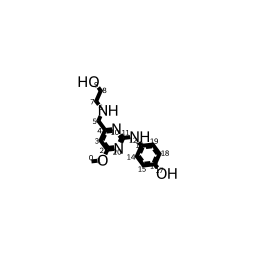 COc1cc(CNCCO)nc(Nc2ccc(O)cc2)n1